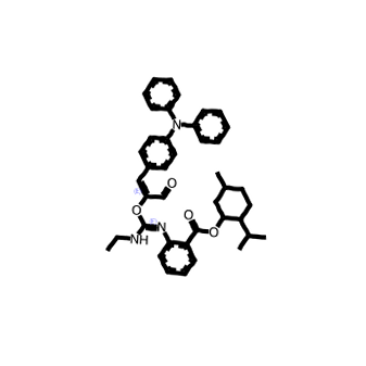 CCN/C(=N\c1ccccc1C(=O)OC1CC(C)CCC1C(C)C)O/C(C=O)=C/c1ccc(N(c2ccccc2)c2ccccc2)cc1